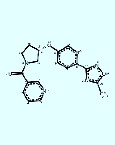 O=C(c1cccnc1)N1CC[C@H](Oc2ccc(-c3noc(C(F)(F)F)n3)nc2)C1